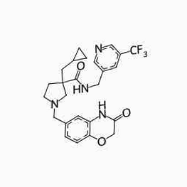 O=C1COc2ccc(CN3CCC(CC4CC4)(C(=O)NCc4cncc(C(F)(F)F)c4)C3)cc2N1